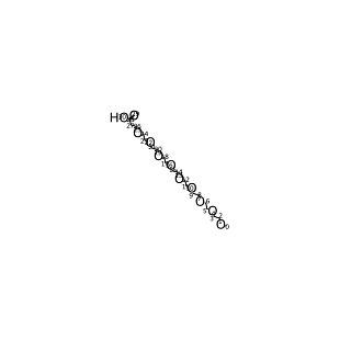 COCCOCCOCCOCCOCCOCCOCCOCCOCCC(=O)O